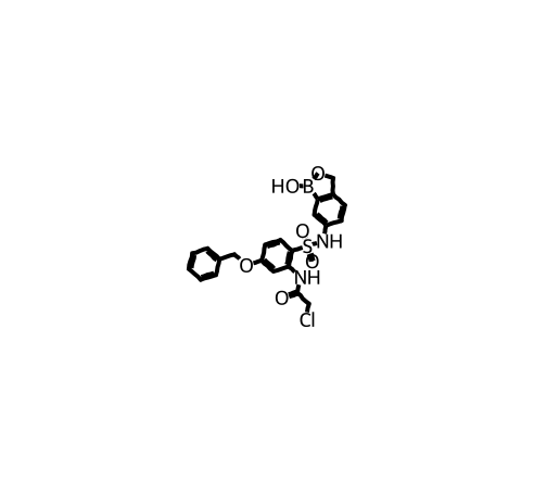 O=C(CCl)Nc1cc(OCc2ccccc2)ccc1S(=O)(=O)Nc1ccc2c(c1)B(O)OC2